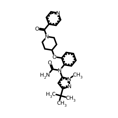 Cn1nc(C(C)(C)C)cc1N(C(N)=O)c1ccccc1OC1CCN(C(=O)c2ccncc2)CC1